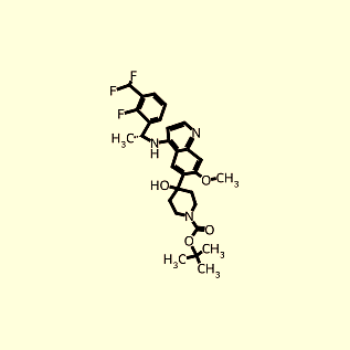 COc1cc2nccc(N[C@H](C)c3cccc(C(F)F)c3F)c2cc1C1(O)CCN(C(=O)OC(C)(C)C)CC1